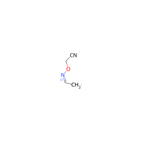 [CH2]/C=N\OCC#N